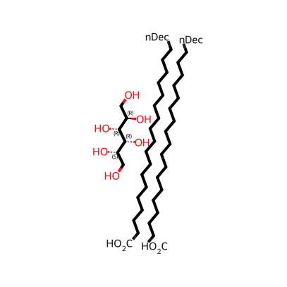 CCCCCCCCCCCCCCCCCCCCCCCCCCCC(=O)O.CCCCCCCCCCCCCCCCCCCCCCCCCCCC(=O)O.OC[C@@H](O)[C@@H](O)[C@H](O)[C@@H](O)CO